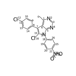 Cc1ncnc2c1c(-c1ccc(Cl)cc1)c(Cl)n2-c1ccc([N+](=O)[O-])cc1